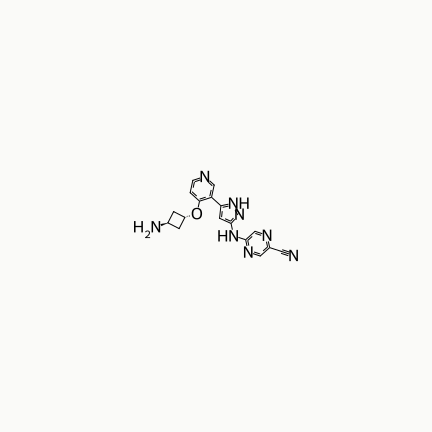 N#Cc1cnc(Nc2cc(-c3cnccc3O[C@H]3C[C@H](N)C3)[nH]n2)cn1